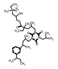 CCC(C)c1cccc(C(C)CC(C)Cn2c(=O)n(CC(C)C)c(=O)n(CC(C)CC(C)(CC)C(=O)OCC(O)C[N+](C)(C)CC)c2=O)c1